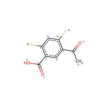 CC(=O)c1cc(C(=O)O)c(F)cc1F